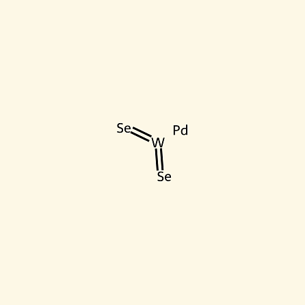 [Pd].[Se]=[W]=[Se]